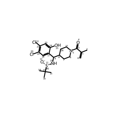 C=C(C)C(=O)N1CCC(C(N[S@@+]([O-])C(C)(C)C)c2cc(Cl)c(Cl)cc2O)CC1